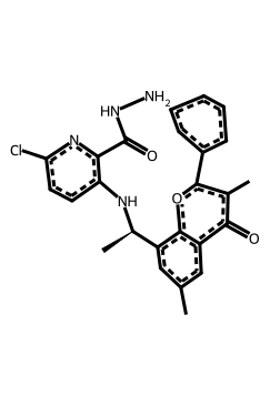 Cc1cc([C@@H](C)Nc2ccc(Cl)nc2C(=O)NN)c2oc(-c3ccccc3)c(C)c(=O)c2c1